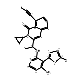 CC#Cc1cccc2cc(C(C)Nc3ncnc(N)c3-c3nnc(C)o3)n(C3CC3)c(=O)c12